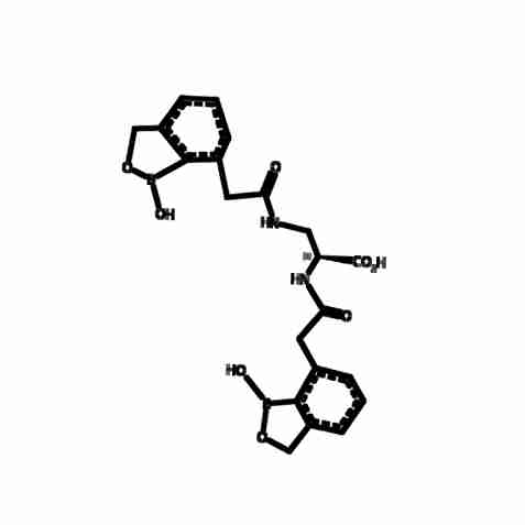 O=C(Cc1cccc2c1B(O)OC2)NC[C@H](NC(=O)Cc1cccc2c1B(O)OC2)C(=O)O